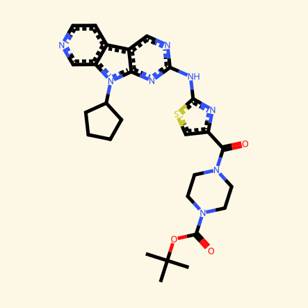 CC(C)(C)OC(=O)N1CCN(C(=O)c2csc(Nc3ncc4c5ccncc5n(C5CCCC5)c4n3)n2)CC1